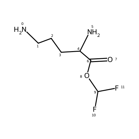 NCCCC(N)C(=O)OC(F)F